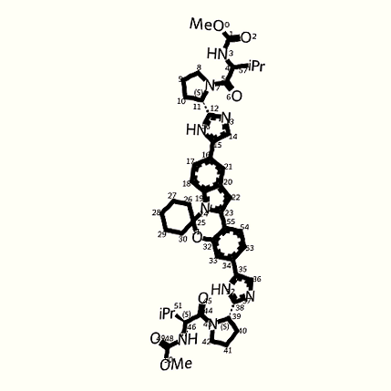 COC(=O)NC(C(=O)N1CCC[C@H]1c1ncc(-c2ccc3c(c2)cc2n3C3(CCCCC3)Oc3cc(-c4cnc([C@@H]5CCCN5C(=O)[C@@H](NC(=O)OC)C(C)C)[nH]4)ccc3-2)[nH]1)C(C)C